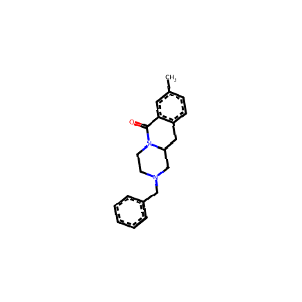 Cc1ccc2c(c1)C(=O)N1CCN(Cc3ccccc3)CC1C2